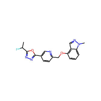 CC(F)c1nnc(-c2ccc(COc3cccc4c3cnn4C)nc2)o1